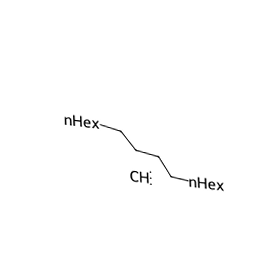 CCCCCCCCCCCCCCCC.[CH]